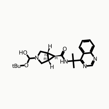 CC(C)(C)OC(O)N1C[C@@H]2[C@H](C1)[C@H]2C(=O)NC(C)(C)c1ncnc2ccccc12